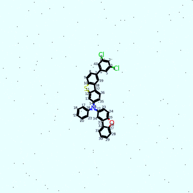 Clc1cc(Cl)cc(-c2ccc3sc4cc(N(c5ccccc5)c5ccc6oc7ccccc7c6c5)ccc4c3c2)c1